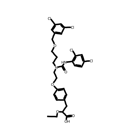 CCOC(Cc1ccc(OCCN(CCCOCc2cc(Cl)cc(Cl)c2)C(=O)Nc2ccc(Cl)cc2Cl)cc1)C(=O)O